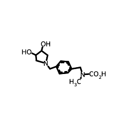 CN(Cc1ccc(CN2CC(O)C(O)C2)cc1)C(=O)O